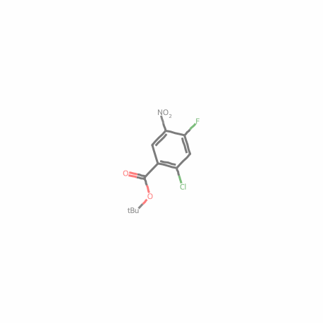 CC(C)(C)OC(=O)c1cc([N+](=O)[O-])c(F)cc1Cl